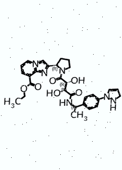 CCOC(=O)c1cccn2cc([C@H]3CCCN3C(=O)[C@H](O)[C@@H](O)C(=O)N[C@H](C)c3ccc(N4C=CCN4)cc3)nc12